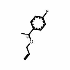 C=CCO[C@@H](C)c1ccc(F)cc1